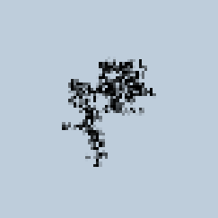 CCc1cc(C)cc(CC)c1-c1c(OC(=O)C(C)(C)C)n2n(c1=O)CCOCC2.COC(=O)c1ccc(CNS(C)(=O)=O)cc1S(=O)(=O)NC(=O)Nc1nc(OC)cc(OC)n1.COc1ccccc1C(=O)NS(=O)(=O)c1ccc(C(=O)NC2CC2)cc1.Cc1c(C(=O)c2cnn(C)c2O)ccc(S(C)(=O)=O)c1C1=NOCC1